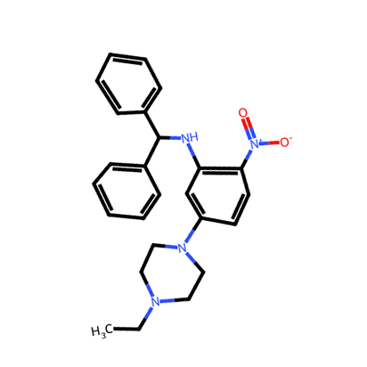 CCN1CCN(c2ccc([N+](=O)[O-])c(NC(c3ccccc3)c3ccccc3)c2)CC1